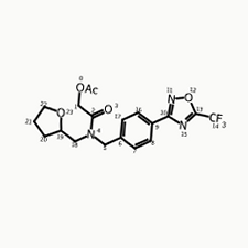 CC(=O)OCC(=O)N(Cc1ccc(-c2noc(C(F)(F)F)n2)cc1)CC1CCCO1